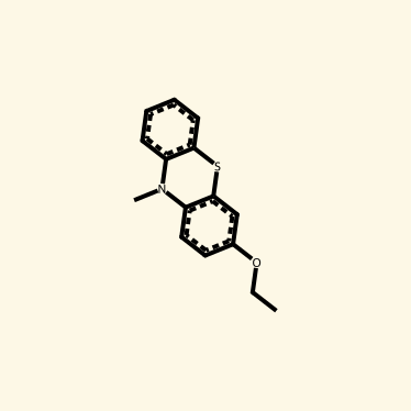 CCOc1ccc2c(c1)Sc1ccccc1N2C